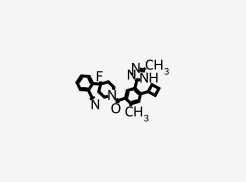 Cc1nnc(-c2cc(C(=O)N3CCC(F)(c4ccccc4C#N)CC3)c(C)cc2C2CCC2)[nH]1